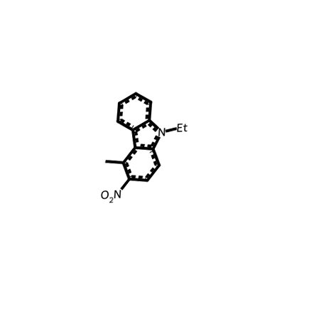 CCn1c2ccccc2c2c(C)c([N+](=O)[O-])ccc21